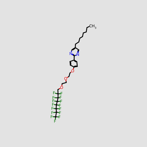 CCCCCCCCc1cnc(-c2ccc(OCCOCCOCC(F)(F)C(F)(F)C(F)(F)C(F)(F)C(F)(F)C(F)(F)C(F)(F)F)cc2)nc1